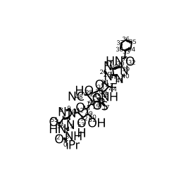 CC(C)C(=O)Nc1nc2c(ncn2C2OC(COP(=S)(NC3C(CO)OC(n4cnc5c(NC(=O)c6ccccc6)ncnc54)C3F)OCCC#N)C(CO)C2O)c(=O)[nH]1